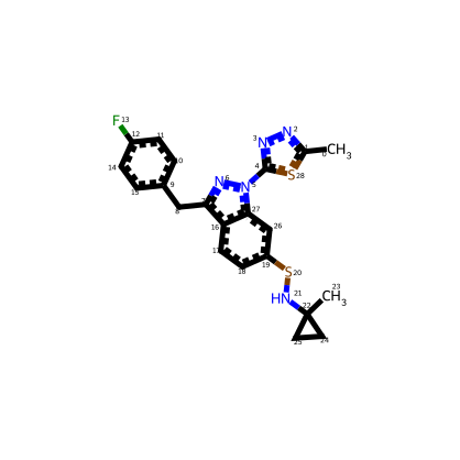 Cc1nnc(-n2nc(Cc3ccc(F)cc3)c3ccc(SNC4(C)CC4)cc32)s1